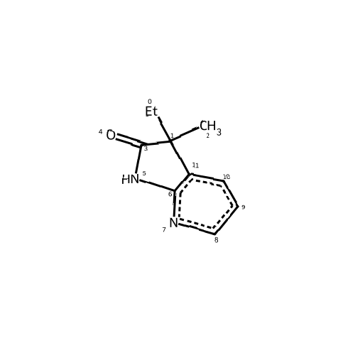 CCC1(C)C(=O)Nc2ncccc21